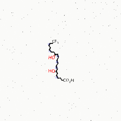 O=C(O)CC/C=C\C[C@H](O)/C=C/C=C/C=C\[C@@H](O)C/C=C\C/C=C\CC(F)(F)F